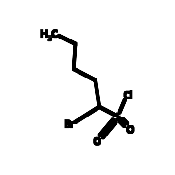 CCCCC(Br)S(=O)(=O)Cl